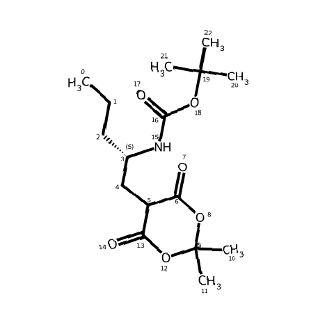 CCC[C@@H](CC1C(=O)OC(C)(C)OC1=O)NC(=O)OC(C)(C)C